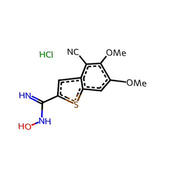 COc1cc2sc(C(=N)NO)cc2c(C#N)c1OC.Cl